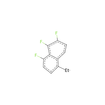 C[CH]c1ccc(F)c2c(F)c(F)ccc12